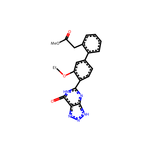 CCOc1cc(-c2ccccc2CC(=O)OC)ccc1-c1nc2[nH]nnc2c(=O)[nH]1